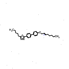 CCCCC/C=C/COc1ccc(-c2ccc(-c3nnc(CCCCC)s3)cc2)cc1